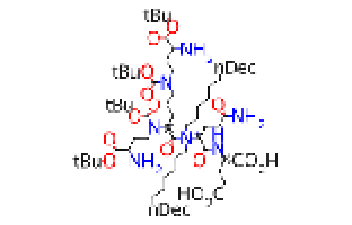 CCCCCCCCCCCCCCCC[N+](CCCCCCCCCCCCCCCC)(C(=O)[C@H](CCCN(CCC(N)C(=O)OC(C)(C)C)C(=O)OC(C)(C)C)N(CCC(N)C(=O)OC(C)(C)C)C(=O)OC(C)(C)C)[C@@H](CCC(N)=O)C(=O)N[C@@H](CCC(=O)O)C(=O)O